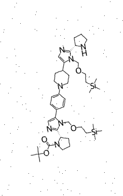 CC(C)(C)OC(=O)N1CCC[C@H]1c1ncc(-c2ccc(N3CCC(c4cnc([C@@H]5CCCN5)n4COCC[Si](C)(C)C)CC3)cc2)n1COCC[Si](C)(C)C